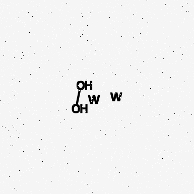 OO.[W].[W]